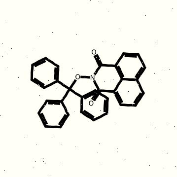 O=C1c2cccc3cccc(c23)C(=O)N1OC(c1ccccc1)(c1ccccc1)c1ccccc1